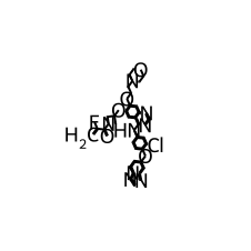 C=C(F)C(=O)N1CC(Oc2cc3c(Nc4ccc(Oc5ccn6ncnc6c5)c(Cl)c4)ncnc3cc2OCCN2CCOCC2)C1